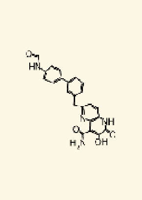 NC(=O)c1c(O)c(=O)[nH]c2ccc(Cc3cccc(-c4ccc(NC=O)cc4)c3)nc12